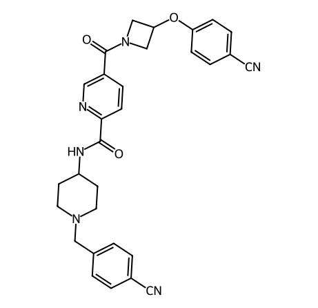 N#Cc1ccc(CN2CCC(NC(=O)c3ccc(C(=O)N4CC(Oc5ccc(C#N)cc5)C4)cn3)CC2)cc1